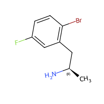 C[C@@H](N)Cc1cc(F)ccc1Br